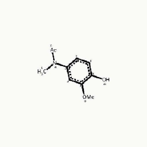 COc1cc(N(C)C(C)=O)ccc1O